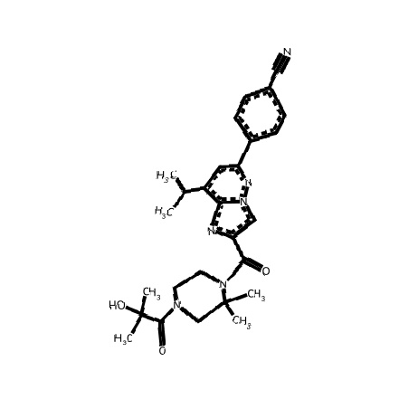 CC(C)c1cc(-c2ccc(C#N)cc2)nn2cc(C(=O)N3CCN(C(=O)C(C)(C)O)CC3(C)C)nc12